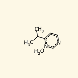 CC(C)c1ccncn1.O